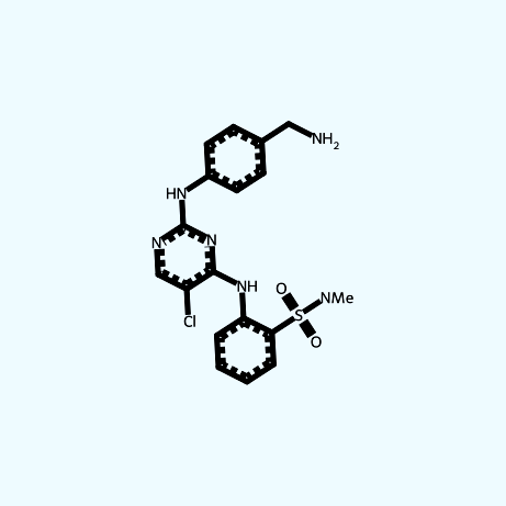 CNS(=O)(=O)c1ccccc1Nc1nc(Nc2ccc(CN)cc2)ncc1Cl